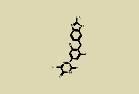 Cc1nc2ccc(Cc3c(F)cc(-n4nc(C#N)c(=O)[nH]c4=O)cc3F)cc2[nH]1